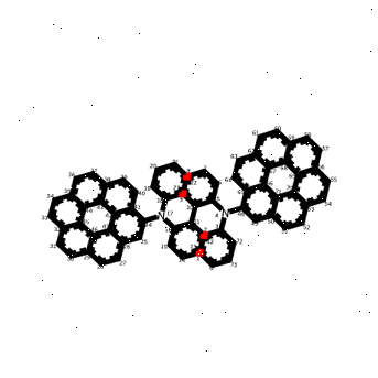 c1ccc(N(c2ccccc2-c2ccccc2N(c2ccccc2)c2cc3ccc4ccc5ccc6ccc7ccc2c2c7c6c5c4c32)c2cc3ccc4ccc5ccc6ccc7ccc2c2c7c6c5c4c32)cc1